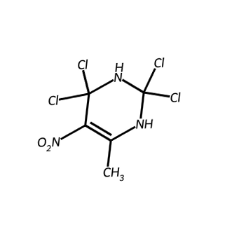 CC1=C([N+](=O)[O-])C(Cl)(Cl)NC(Cl)(Cl)N1